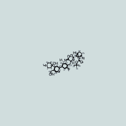 CN1CCC(O)(c2cc(-c3ccc(C[C@H](NC(=O)[C@@H]4[C@H]5CC[C@H](C5)N4C(=O)OC(C)(C)C)C(N)=O)c(F)c3)ncc2CO)CC1